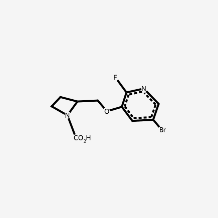 O=C(O)N1CCC1COc1cc(Br)cnc1F